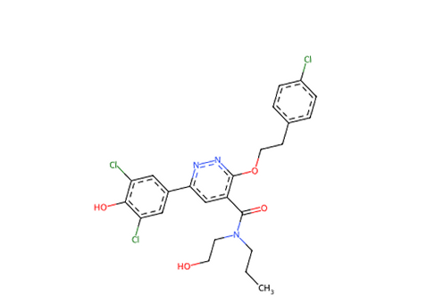 CCCN(CCO)C(=O)c1cc(-c2cc(Cl)c(O)c(Cl)c2)nnc1OCCc1ccc(Cl)cc1